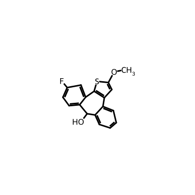 COc1cc2c(s1)-c1cc(F)ccc1C(O)c1ccccc1-2